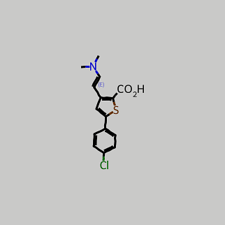 CN(C)/C=C/c1cc(-c2ccc(Cl)cc2)sc1C(=O)O